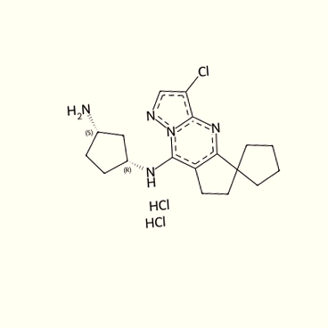 Cl.Cl.N[C@H]1CC[C@@H](Nc2c3c(nc4c(Cl)cnn24)C2(CCCC2)CC3)C1